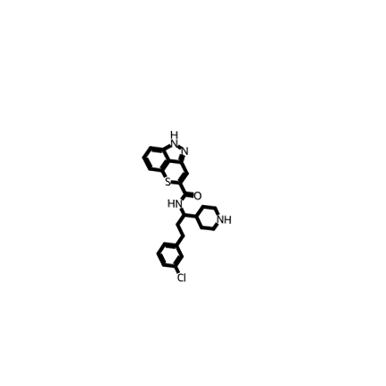 O=C(NC(CCc1cccc(Cl)c1)C1CCNCC1)C1=Cc2n[nH]c3cccc(c23)S1